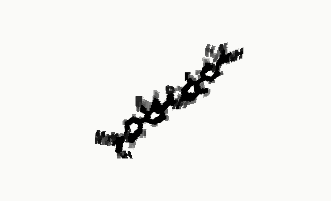 CNC(=N)N1CC=C(c2ccc(C(=O)Nc3cc(C)c(C4=CCN(C(=N)N)CC4)c(F)c3)cc2F)CC1